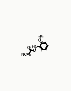 CCOc1ccccc1NOC(=O)CC#N